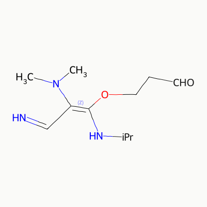 CC(C)N/C(OCCC=O)=C(\C=N)N(C)C